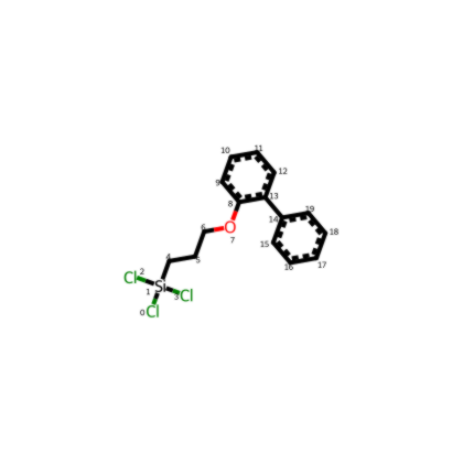 Cl[Si](Cl)(Cl)CCCOc1ccccc1-c1ccccc1